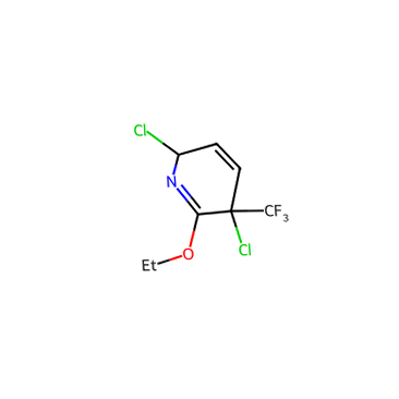 CCOC1=NC(Cl)C=CC1(Cl)C(F)(F)F